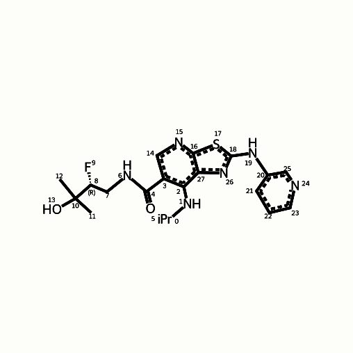 CC(C)Nc1c(C(=O)NC[C@@H](F)C(C)(C)O)cnc2sc(Nc3cccnc3)nc12